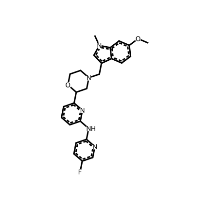 COc1ccc2c(CN3CCOC(c4cccc(Nc5ccc(F)cn5)n4)C3)cn(C)c2c1